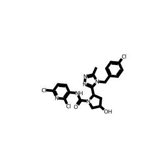 Cc1nnc(C2CC(O)CN2C(=O)Nc2ccc(Cl)nc2Cl)n1Cc1ccc(Cl)cc1